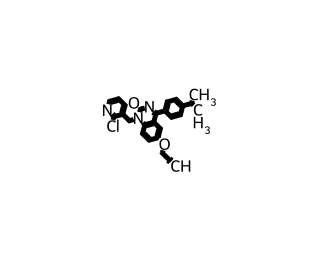 C#CCOc1ccc2c(c1)c(-c1ccc(C(C)C)cc1)nc(=O)n2Cc1cccnc1Cl